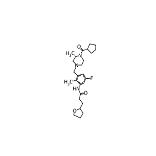 Cc1c(CN2CCN(C(=O)C3CCCC3)[C@@H](C)C2)cc(F)cc1NC(=O)CCC1CCCO1